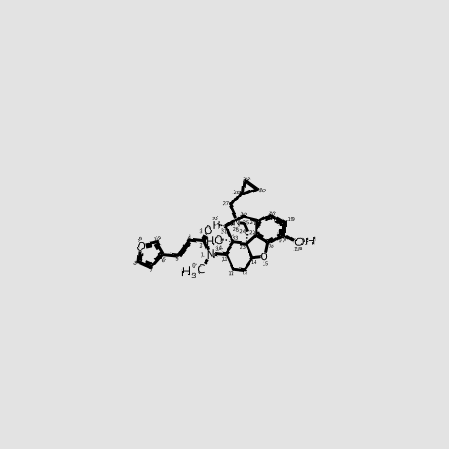 CN(C(=O)/C=C/c1ccoc1)C1CCC2Oc3c(O)ccc4c3[C@@]23CCN(CC2CC2)[C@H](C4)[C@]13O